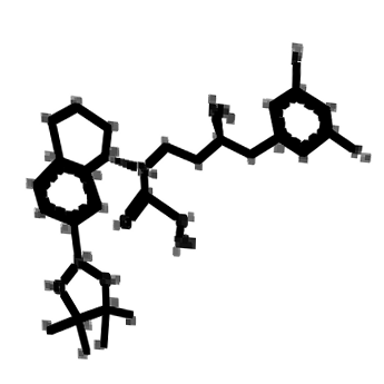 CC(C)(C)OC(=O)N(CC[C@@H](N)Cc1cc(F)cc(F)c1)[C@H]1CCCc2ccc(B3OC(C)(C)C(C)(C)O3)cc21